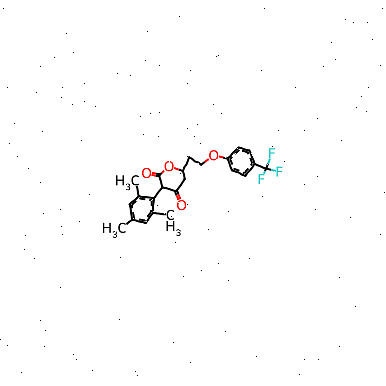 Cc1cc(C)c(C2C(=O)CC(CCOc3ccc(C(F)(F)F)cc3)OC2=O)c(C)c1